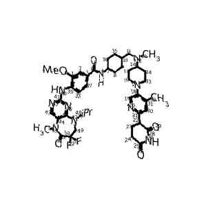 COc1cc(C(=O)NC2CCC(CN(C)C3CCN(c4cnc(C5CCC(=O)NC5=O)cc4C)CC3)CC2)ccc1Nc1ncc2c(n1)N(C(C)C)CC(F)(F)C(=O)N2C